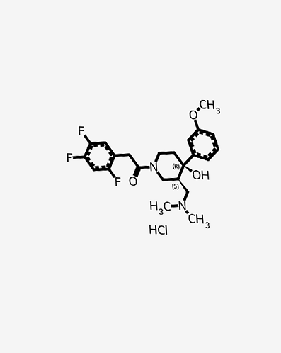 COc1cccc([C@@]2(O)CCN(C(=O)Cc3cc(F)c(F)cc3F)C[C@@H]2CN(C)C)c1.Cl